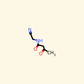 CC(=O)CC(=O)NCC#N